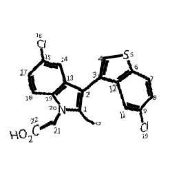 Cc1c(-c2csc3ccc(Cl)cc23)c2cc(Cl)ccc2n1CC(=O)O